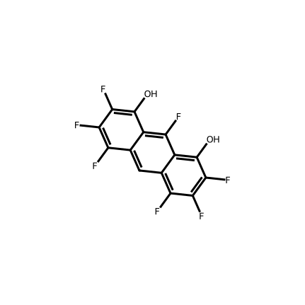 Oc1c(F)c(F)c(F)c2cc3c(F)c(F)c(F)c(O)c3c(F)c12